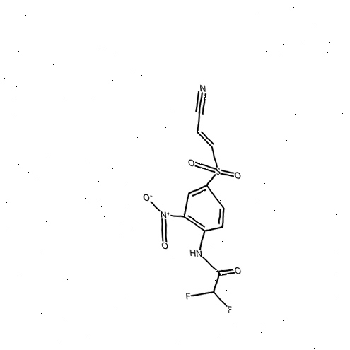 N#C/C=C/S(=O)(=O)c1ccc(NC(=O)C(F)F)c([N+](=O)[O-])c1